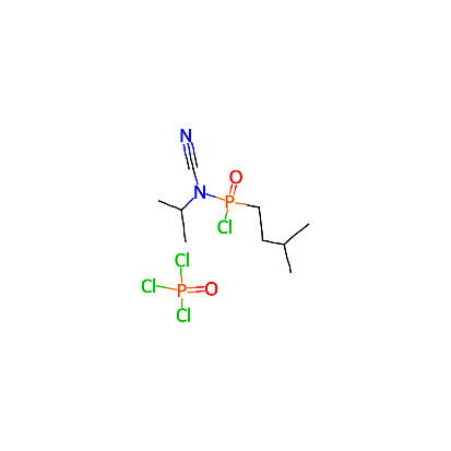 CC(C)CCP(=O)(Cl)N(C#N)C(C)C.O=P(Cl)(Cl)Cl